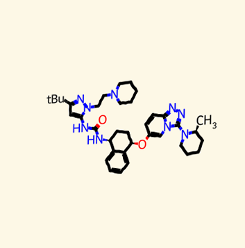 C[C@H]1CCCCN1c1nnc2ccc(O[C@@H]3CC[C@H](NC(=O)Nc4cc(C(C)(C)C)nn4CCN4CCCCC4)c4ccccc43)cn12